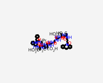 CC(=O)C(NC(=O)C(Cc1ccccc1)NC(=O)C(Cc1ccccc1)NC(=O)C(CC(=O)O)NC(=O)C(CC(=O)O)NC(=O)C(CC(=O)O)NC(=O)CNC(=O)CNC(=O)CNC(=O)C(CC(=O)O)NC(=O)C(CC(=O)O)NC(=O)CCC(=O)N1Cc2ccccc2C#Cc2ccccc21)C(C)C